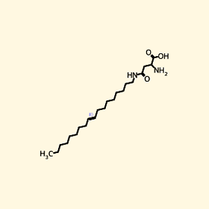 CCCCCCCC/C=C/CCCCCCCCNC(=O)CC(N)C(=O)O